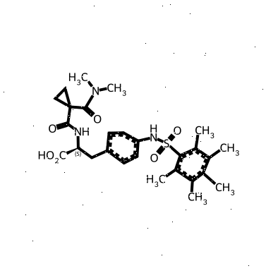 Cc1c(C)c(C)c(S(=O)(=O)Nc2ccc(C[C@H](NC(=O)C3(C(=O)N(C)C)CC3)C(=O)O)cc2)c(C)c1C